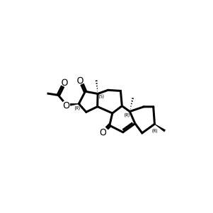 CC(=O)O[C@@H]1CC2C3C(=O)C=C4C[C@H](C)CC[C@]4(C)C3CC[C@]2(C)C1=O